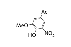 COc1cc(C(C)=O)cc([N+](=O)[O-])c1O